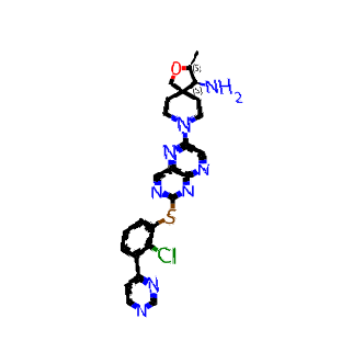 C[C@@H]1OCC2(CCN(c3cnc4nc(Sc5cccc(-c6ccncn6)c5Cl)ncc4n3)CC2)[C@@H]1N